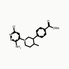 COC(=O)c1ccc(C2CN(c3cc(Cl)nnc3N)CCC2C)cc1